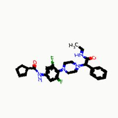 CCNC(=O)C(c1ccccc1)N1CCN(c2c(F)cc(NC(=O)C3CCCC3)cc2F)CC1